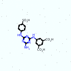 Nc1nc(Nc2ccc(S(=O)(=O)O)cc2)nc(Nc2cc(C(=O)O)cc(C(=O)O)c2)n1